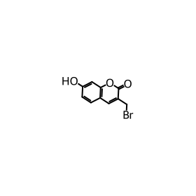 O=c1oc2cc(O)ccc2cc1CBr